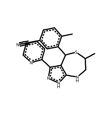 Cc1ccc(C#N)cc1C1SC(C)CNc2[nH]nc(-c3ccccn3)c21